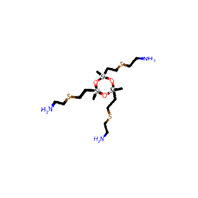 C[Si]1(CCSCCN)O[Si](C)(CCSCCN)O[Si](C)(CCSCCN)O1